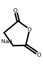 O=C1CCC(=O)O1.[NaH]